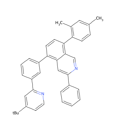 Cc1ccc(-c2ccc(-c3cccc(-c4cc(C(C)(C)C)ccn4)c3)c3cc(-c4ccccc4)ncc23)c(C)c1